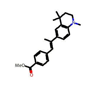 COC(=O)c1ccc(C=C(C)c2ccc3c(c2)C(C)(C)CCN3C)cc1